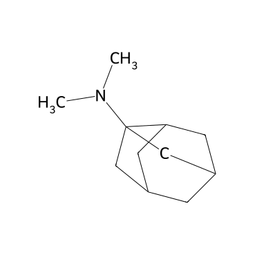 CN(C)C12CC3CC(CC1C3)C2